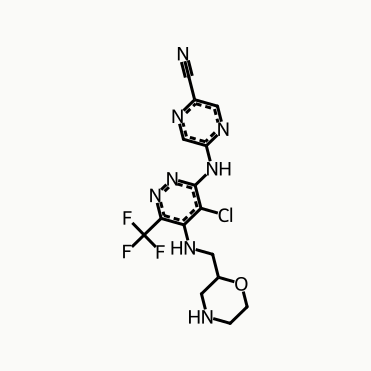 N#Cc1cnc(Nc2nnc(C(F)(F)F)c(NCC3CNCCO3)c2Cl)cn1